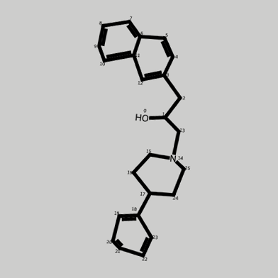 OC(Cc1ccc2ccccc2c1)CN1CCC(c2ccccc2)CC1